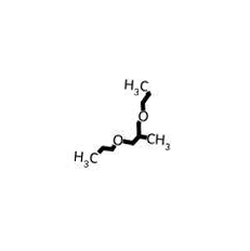 CCCOCC(C)COCCC